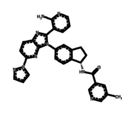 Cc1cncc(C(=O)N[C@H]2CCc3cc(-n4c(-c5cccnc5N)nc5ccc(-n6cccn6)nc54)ccc32)c1